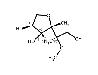 CO[C@](C)(CO)[C@@]1(C)OC[C@H](O)[C@@]1(C)O